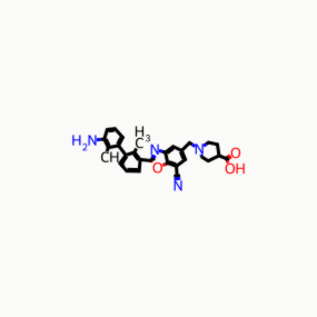 Cc1c(N)cccc1-c1cccc(-c2nc3cc(CN4CCC(C(=O)O)CC4)cc(C#N)c3o2)c1C